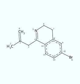 C=C(C)CC1=NCCc2cc(Br)ccc21